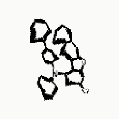 Clc1cc(N(c2ccccc2)c2ccc(-c3ccccc3)cc2)c2c(c1)oc1cc3ccccc3cc12